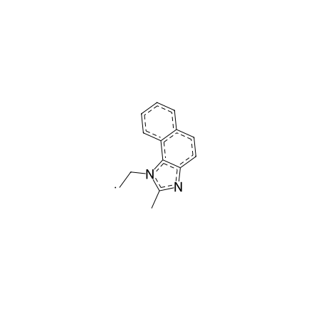 [CH2]Cn1c(C)nc2ccc3ccccc3c21